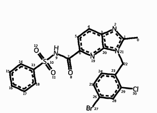 Cc1nc2ccc(C(=O)NS(=O)(=O)c3ccccc3)nc2n1Cc1ccc(Br)cc1Cl